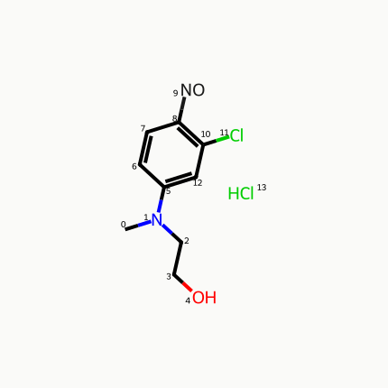 CN(CCO)c1ccc(N=O)c(Cl)c1.Cl